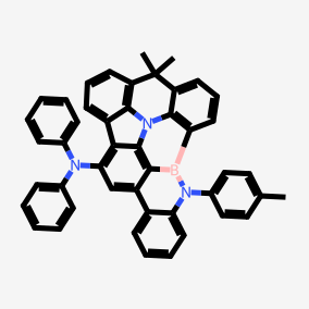 Cc1ccc(N2B3c4cccc5c4-n4c6c(cccc6c6c(N(c7ccccc7)c7ccccc7)cc(c3c64)-c3ccccc32)C5(C)C)cc1